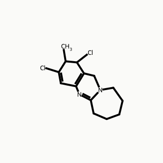 CC1C(Cl)=CC2=C(CN3CCCCCC3=N2)C1Cl